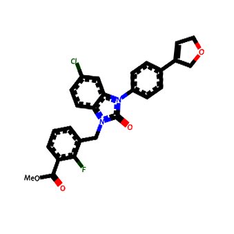 COC(=O)c1cccc(Cn2c(=O)n(-c3ccc(C4=CCOC4)cc3)c3cc(Cl)ccc32)c1F